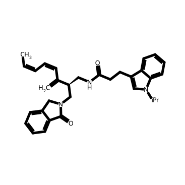 C=C(/C=C\C=C/C)[C@@H](CNC(=O)CCc1cn(C(C)C)c2ccccc12)CN1Cc2ccccc2C1=O